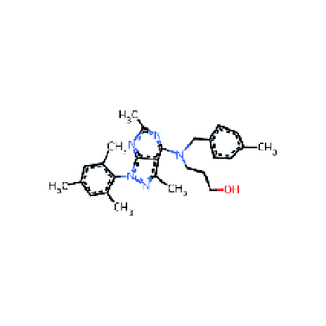 Cc1ccc(CN(CCCO)c2nc(C)nc3c2c(C)nn3-c2c(C)cc(C)cc2C)cc1